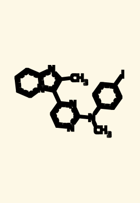 Cc1nc2ccccn2c1-c1ccnc(N(C)c2ccc(I)cc2)n1